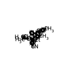 CCc1cc(C)c2c(c(C3C=CC=CC3)cn2S(=O)(=O)c2ccc(C)cc2)c1C(I)c1nc2cc(C#N)ccc2n1COCC[Si](C)(C)C